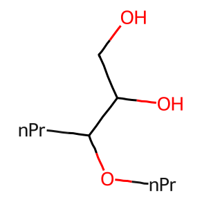 CCCOC(CCC)C(O)CO